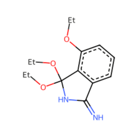 CCOc1cccc2c1C(OCC)(OCC)NC2=N